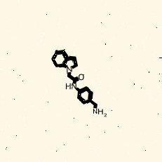 NCc1ccc(NC(=O)CN2CCC3CCCCC32)cc1